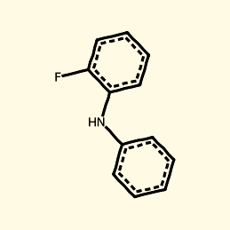 Fc1ccccc1Nc1ccccc1